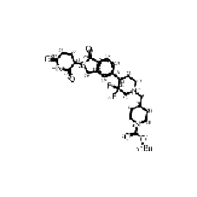 CC(C)(C)OC(=O)N1CCC(CN2CCC(c3ccc4c(c3)CN(C3CCC(=O)NC3=O)C4=O)C(F)(F)C2)CC1